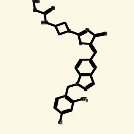 CC(C)(C)OC(=O)NC1CN(C2=NC(=O)/C(=C/c3ccc4c(cnn4Cc4ccc(Cl)cc4C(F)(F)F)c3)S2)C1